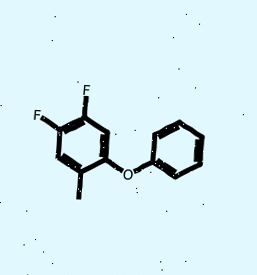 Cc1cc(F)c(F)cc1Oc1ccccc1